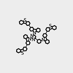 c1cc(-c2cc(-n3c4ccccc4c4cc(-c5ccc6sc7ccccc7c6c5)ccc43)nc(-n3c4ccccc4c4cc(-c5ccc6sc7ccccc7c6c5)ccc43)n2)cc(-n2c3ccccc3c3cc(-c4ccc5sc6ccccc6c5c4)ccc32)c1